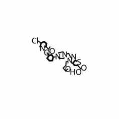 CC1(c2ccc(Cl)cn2)Oc2cccc(N3CCN(Cc4nc5sc(C(=O)O)cc5n4CC4CCO4)CC3)c2O1